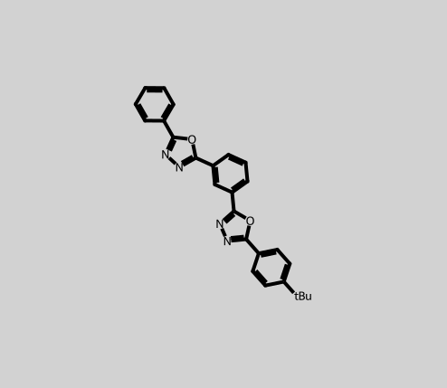 CC(C)(C)c1ccc(-c2nnc(-c3cccc(-c4nnc(-c5ccccc5)o4)c3)o2)cc1